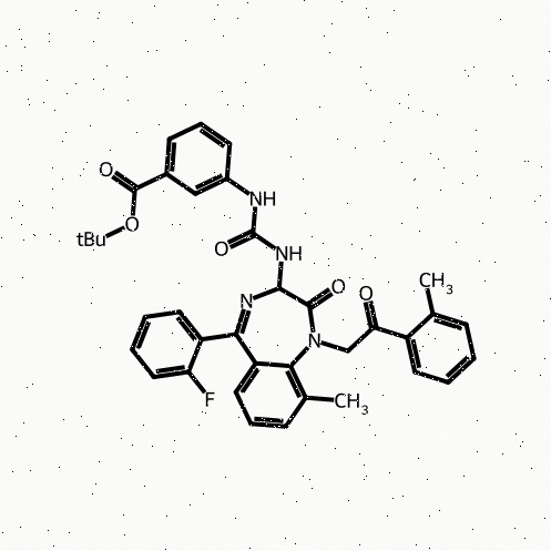 Cc1ccccc1C(=O)CN1C(=O)C(NC(=O)Nc2cccc(C(=O)OC(C)(C)C)c2)N=C(c2ccccc2F)c2cccc(C)c21